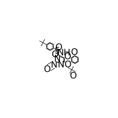 COc1ccccc1Oc1c(NS(=O)(=O)c2ccc(C(C)(C)C)cc2)nc(N2CCOCC2)nc1OCC1(C)COC1